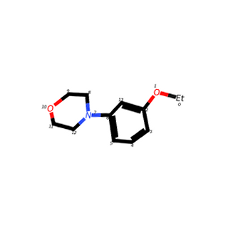 CCOc1cccc(N2CCOCC2)c1